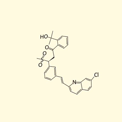 CC(C)(O)c1ccccc1C(=O)C[C@@H](c1cccc(C=Cc2ccc3ccc(Cl)cc3n2)c1)S(C)(=O)=O